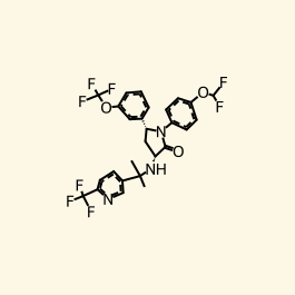 CC(C)(N[C@@H]1C[C@H](c2cccc(OC(F)(F)F)c2)N(c2ccc(OC(F)F)cc2)C1=O)c1ccc(C(F)(F)F)nc1